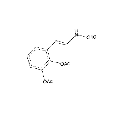 CC(=O)Oc1cccc(C=CNC=O)c1OC(C)=O